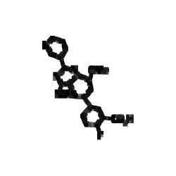 CNc1nc(-c2cccnc2)nc2c(OC)cc(-c3ccc(F)c(C(=O)O)c3)cc12